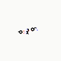 Cc1ccc(S(=O)(=O)n2cc(C)c3c(Oc4ccc(C[C@@H](C(=O)O)N(C)C)cc4)ccnc32)cc1